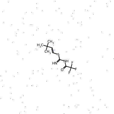 CC(C)(C)/C=C/SC(=N)NC(=O)C(F)(F)F